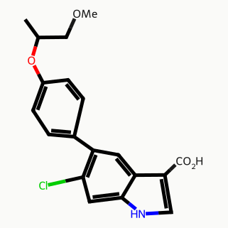 COCC(C)Oc1ccc(-c2cc3c(C(=O)O)c[nH]c3cc2Cl)cc1